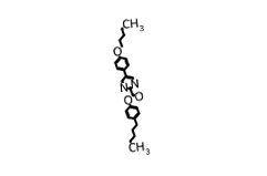 CCCCCOc1ccc(-c2cnc(C(=O)Oc3ccc(CCCCC)cc3)nc2)cc1